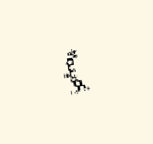 CN(C)S(=O)(=O)c1ccc(CC(=O)Nc2nc3cc(CO)c(CO)cc3s2)cc1